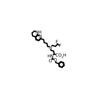 O=C(NC(CCN(CCCCc1ccc2c(n1)NCCC2)CCC(F)F)C(=O)O)OCc1ccccc1